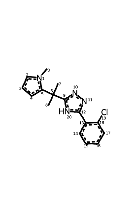 Cn1cccc1C(C)(C)c1nnc(-c2ccccc2Cl)[nH]1